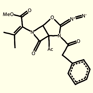 COC(=O)C(=C(C)C)N1C(=O)C2(C(C)=O)C1OC(=[N+]=[N-])N2C(=O)Cc1ccccc1